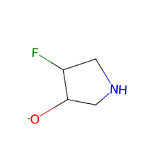 [O]C1CNCC1F